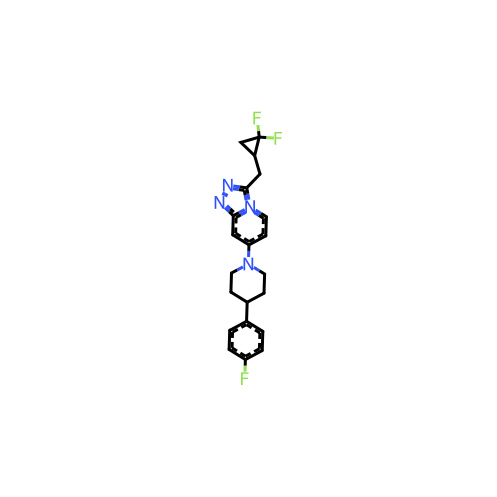 Fc1ccc(C2CCN(c3ccn4c(CC5CC5(F)F)nnc4c3)CC2)cc1